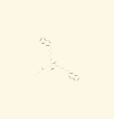 CCOC(=O)CO[C@@H](C(=O)O)[C@@H](OCCCCCc1ccc2ccccc2c1)C(=O)NCCCCCc1ccc2ccccc2c1